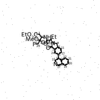 CCOC(=O)CC(NC(=O)C(CC)N1Cc2ccc(-c3cncc4ccccc34)cc2C1=O)C(CF)(OC)OC